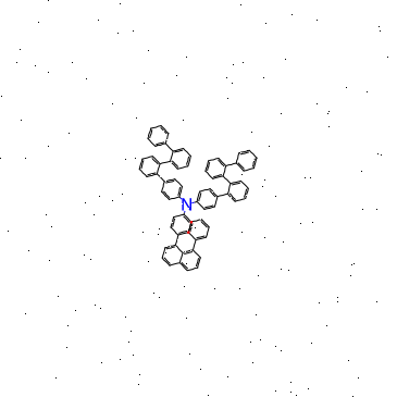 c1ccc(-c2ccccc2-c2ccccc2-c2ccc(N(c3ccc(-c4ccccc4-c4ccccc4-c4ccccc4)cc3)c3ccc(-c4cccc5cccc(-c6ccccc6)c45)cc3)cc2)cc1